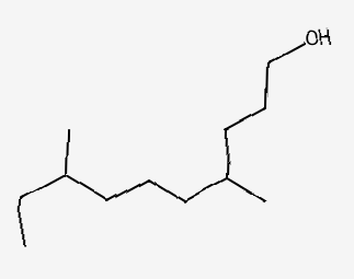 CCC(C)CCCC(C)CCCO